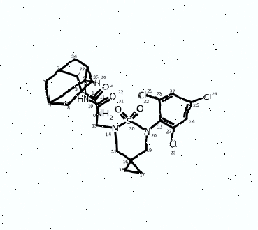 NC(=O)[C@]12CC3CC(C1)[C@@H](NC(=O)CN1CC4(CC4)CN(c4c(Cl)cc(Cl)cc4Cl)S1(=O)=O)C(C3)C2